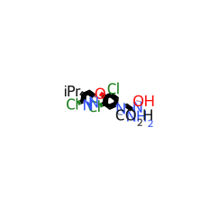 CC(C)c1cc(Oc2c(Cl)cc(N(C/C(N)=N\O)C(=O)O)cc2Cl)nnc1Cl